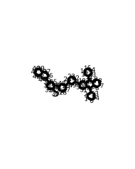 c1ccc(-c2c3ccccc3c(-c3ccccc3)c3cc(-c4cccc(-c5ccc6sc7ccc(-c8ccc9ccccc9c8)cc7c6c5)c4)ccc23)cc1